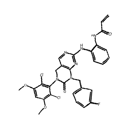 C=CC(=O)Nc1ccccc1Nc1ncc2c(n1)N(Cc1cccc(F)c1)C(=O)N(c1c(Cl)c(OC)cc(OC)c1Cl)C2